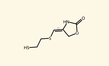 O=C1N/C(=C/SCCS)CO1